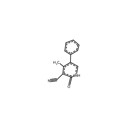 Cc1c(-c2ccccc2)c[nH]c(=O)c1C#N